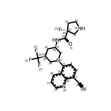 N#Cc1ccc(N2C[C@H](NC(=O)[C@@]3(F)CCNC3)C[C@H](C(F)(F)F)C2)c2cccnc12